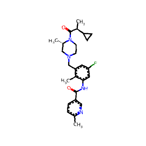 Cc1ccc(C(=O)Nc2cc(F)cc(CN3CCN(C(=O)C(C)C4CC4)[C@@H](C)C3)c2C)cn1